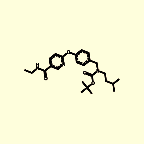 CCNC(=O)c1ccc(Oc2ccc(CN(CCC(C)C)C(=O)OC(C)(C)C)cc2)nc1